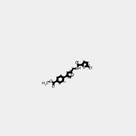 COC(=O)c1ccc(-c2cc(CNC(=O)c3ccc(Cl)s3)on2)cc1